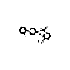 CC(C)C(=O)N1CCCC(N)[C@@H]1COC1CCN(c2ccccc2F)CC1